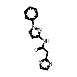 O=C(Cc1nccs1)Nc1ccn(-c2ccccc2)n1